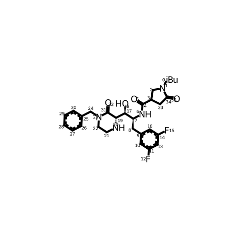 CCC(C)N1CC(C(=O)N[C@@H](Cc2cc(F)cc(F)c2)[C@H](O)[C@@H]2NCCN(Cc3ccccc3)C2=O)CC1=O